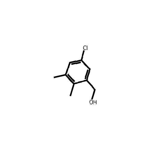 Cc1cc(Cl)cc(CO)c1C